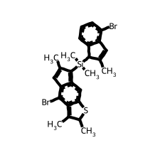 CC1=Cc2c(Br)c3c(cc2=C1[Si](C)(C)C1C(C)=Cc2c(Br)cccc21)SC(C)C=3C